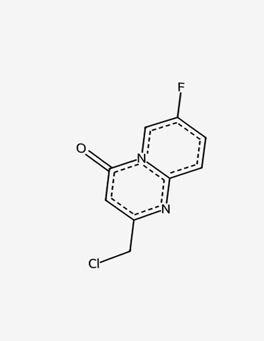 O=c1cc(CCl)nc2ccc(F)cn12